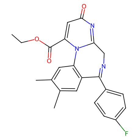 CCOC(=O)c1cc(=O)nc2n1-c1cc(C)c(C)cc1C(c1ccc(F)cc1)=NC2